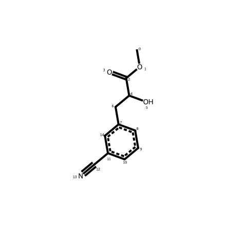 COC(=O)C(O)Cc1cccc(C#N)c1